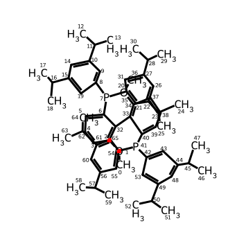 COc1cccc(P(c2cc(C(C)C)cc(C(C)C)c2)c2cc(C(C)C)cc(C(C)C)c2)c1-c1c(OC)cccc1P(c1cc(C(C)C)cc(C(C)C)c1)c1cc(C(C)C)cc(C(C)C)c1